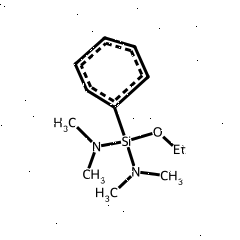 CCO[Si](c1ccccc1)(N(C)C)N(C)C